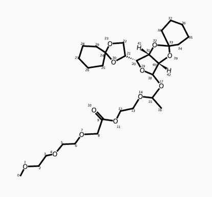 COCCOCCOCC(=O)OCCOC(C)OC1O[C@H](C2COC3(CCCCC3)O2)[C@@H]2OC3(CCCCC3)O[C@H]12